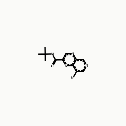 CC(C)(C)NC(=O)c1cnc2cncc(Br)c2n1